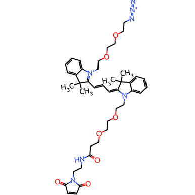 CC1(C)C(/C=C/C=C2/N(CCOCCOCCC(=O)NCCN3C(=O)C=CC3=O)c3ccccc3C2(C)C)=[N+](CCOCCOCCN=[N+]=[N-])c2ccccc21